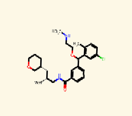 CN[C@@H](CNC(=O)c1cccc(C(OCCNC(=O)O)c2cc(Cl)ccc2C)c1)C[C@H]1CCCOC1